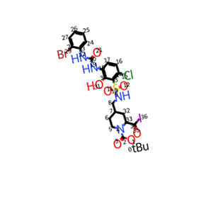 CC(C)(C)OC(=O)N1CCC(CNS(=O)(=O)c2c(Cl)ccc(NC(=O)Nc3ccccc3Br)c2O)CC1C(=O)I